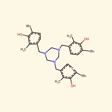 Cc1c(CN2CN(Cc3ccc(C(C)(C)C)c(O)c3C)CN(Cc3ccc(C(C)(C)C)c(O)c3C)C2)ccc(C(C)(C)C)c1O